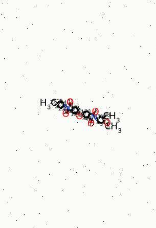 COc1ccc(N2C(=O)c3ccc(Oc4ccc5c(c4)C(=O)N(c4ccc(C)cc4)C5=O)cc3C2=O)cc1C